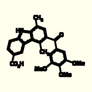 COc1cc(C(=O)c2cc(C)c3[nH]c4ccc(C(=O)O)cc4c3c2C)cc(OC)c1OC